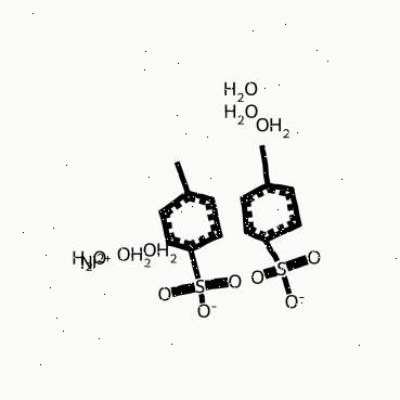 Cc1ccc(S(=O)(=O)[O-])cc1.Cc1ccc(S(=O)(=O)[O-])cc1.O.O.O.O.O.O.[Ni+2]